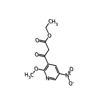 CCOC(=O)CC(=O)c1cc([N+](=O)[O-])cnc1OC